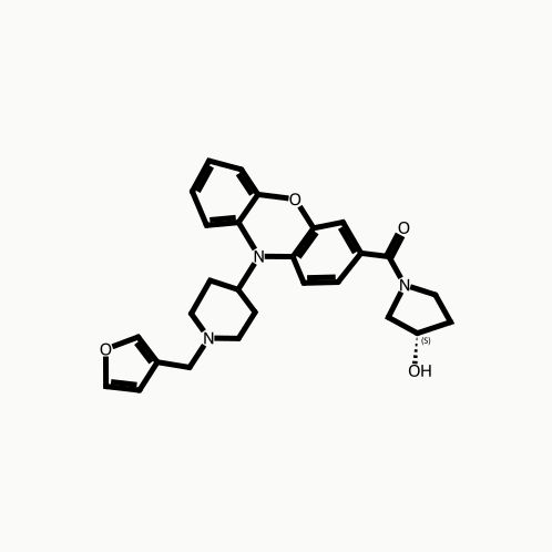 O=C(c1ccc2c(c1)Oc1ccccc1N2C1CCN(Cc2ccoc2)CC1)N1CC[C@H](O)C1